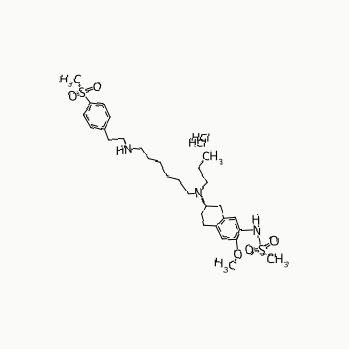 CCCN(CCCCCCNCCc1ccc(S(C)(=O)=O)cc1)[C@@H]1CCc2cc(OC)c(NS(C)(=O)=O)cc2C1.Cl.Cl